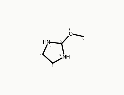 COC1NCCN1